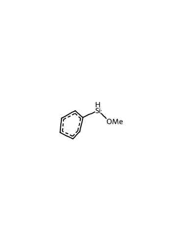 CO[SiH]c1ccccc1